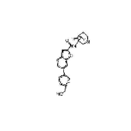 O=C(N[C@H]1CN2CCC1CC2)c1cc2ccc(-c3ccc(CO)cc3)cc2o1